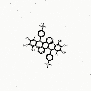 C[Si](C)(C)c1ccc(N(c2c(O)c(O)c(O)c(O)c2O)c2c3ccccc3c(N(c3ccc([Si](C)(C)C)cc3)c3c(O)c(O)c(O)c(O)c3O)c3ccccc23)cc1